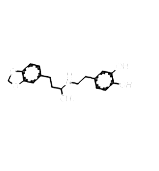 CC(CCc1ccc2c(c1)OCO2)NCCc1ccc(O)c(O)c1